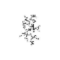 CCC(c1ccc(OC)c(OC)c1)c1nc(NC2(C)CC2)c2c(C(N)=O)c(C)oc2n1